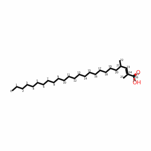 CCCCCCCCCCCCCCCCCCCCCC(C)/C=C(\C)C(=O)O